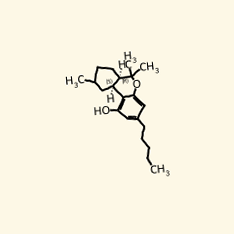 CCCCCc1cc(O)c2c(c1)OC(C)(C)[C@@H]1CCC(C)C[C@H]21